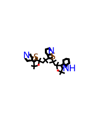 CC(C)(C)c1[nH]c2ccccc2c1C(C)(C)CC(C)(C)c1sc2ncccc2c1C(C)(C)CC(C)(C)c1sc2cnccc2c1C(C)(C)C